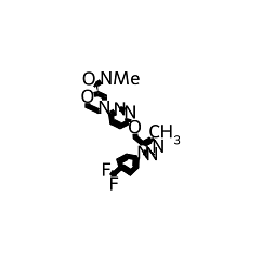 CNC(=O)[C@@H]1CN(c2ccc(OCc3c(C)nnn3-c3ccc(C(F)F)cc3)nn2)CCO1